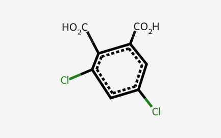 O=C(O)c1cc(Cl)cc(Cl)c1C(=O)O